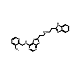 Cc1cccnc1CNc1ncnc2sc(CCNCCc3nc4ccccc4[nH]3)nc12